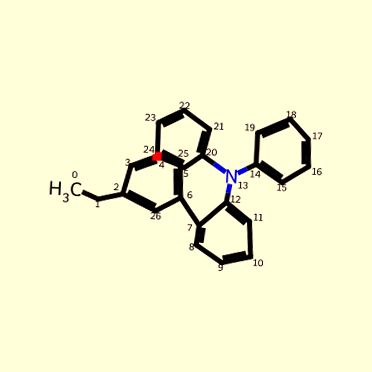 CCc1cccc(-c2ccccc2N(c2ccccc2)c2ccccc2)c1